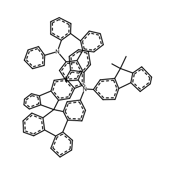 CC1(C)c2ccccc2-c2ccc(N(c3ccc4c(c3)-c3ccccc3-c3ccccc3N4c3ccccc3)c3ccc4c(c3)C3(c5ccccc5-c5ccccc5-4)c4ccccc4-c4cc5c(cc43)sc3ccccc35)cc21